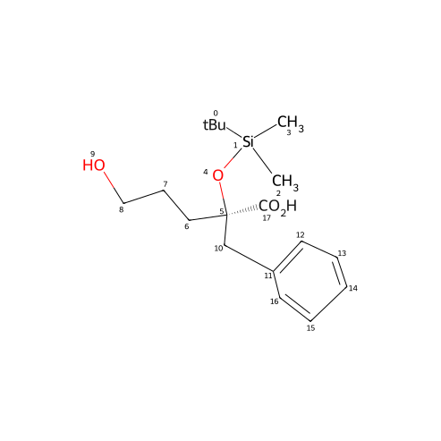 CC(C)(C)[Si](C)(C)O[C@](CCCO)(Cc1ccccc1)C(=O)O